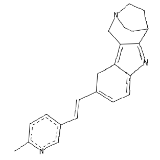 Cc1ccc(/C=C/C2=CC=C3N=C4C(=C3C2)CN2CCC4CC2)cn1